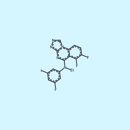 CCN(c1cc(F)cc(I)c1)c1nc2nncn2c2ccc(F)c(F)c12